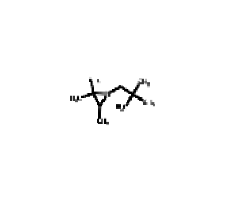 CC1N(CC(C)(C)C)C1(C)C